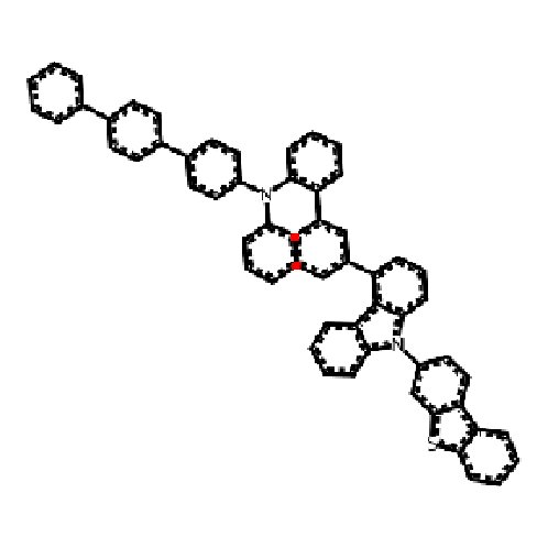 c1ccc(-c2ccc(-c3ccc(N(c4ccccc4)c4ccccc4-c4cccc(-c5cccc6c5c5ccccc5n6-c5ccc6c(c5)sc5ccccc56)c4)cc3)cc2)cc1